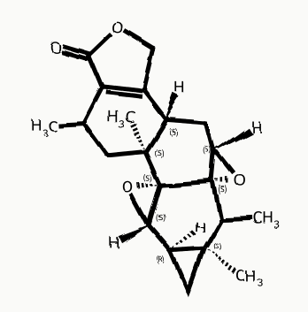 CC1C[C@@]2(C)[C@@H](C[C@@H]3O[C@@]34C(C)[C@@]3(C)C[C@H]3[C@@H]3O[C@]324)C2=C1C(=O)OC2